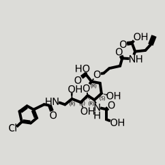 C#CCC(NC(=O)CCCO[C@]1(C(=O)O)C[C@H](O)[C@@H](NC(=O)CO)[C@H]([C@H](O)[C@H](O)CNC(=O)Cc2ccc(Cl)cc2)O1)C(=O)O